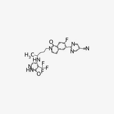 CC(CCCn1ccc2cc(-c3ncc(C#N)cn3)c(F)cc2c1=O)Nc1cn[nH]c(=O)c1C(F)(F)F